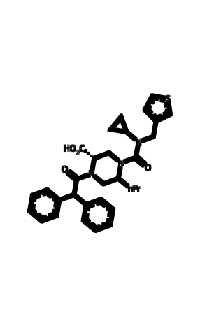 CCCC1CN(C(=O)C(c2ccccc2)c2ccccc2)[C@H](C(=O)O)CN1C(=O)N(Cc1ccsc1)C1CC1